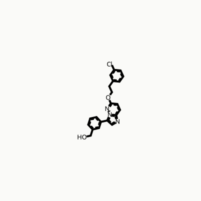 OCc1cccc(-c2cnc3ccc(OCCc4cccc(Cl)c4)nn23)c1